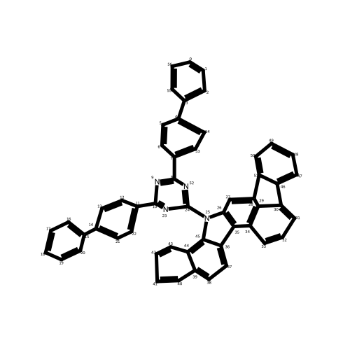 c1ccc(-c2ccc(-c3nc(-c4ccc(-c5ccccc5)cc4)nc(-n4c5cc6c7c(cccc7c5c5ccc7ccccc7c54)-c4ccccc4-6)n3)cc2)cc1